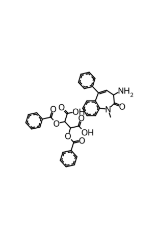 CN1C(=O)C(N)C=C(c2ccccc2)c2ccccc21.O=C(OC(C(=O)O)C(OC(=O)c1ccccc1)C(=O)O)c1ccccc1